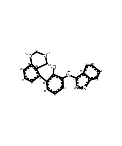 Clc1c(Nc2nsc3ccccc23)cccc1-c1cccc2c1COCO2